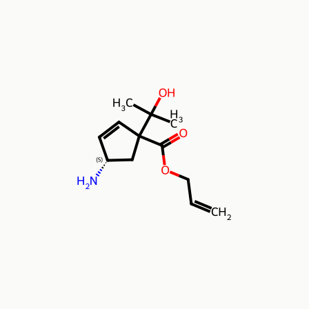 C=CCOC(=O)C1(C(C)(C)O)C=C[C@@H](N)C1